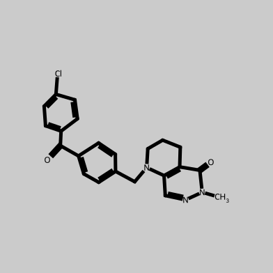 Cn1ncc2c(c1=O)CCCN2Cc1ccc(C(=O)c2ccc(Cl)cc2)cc1